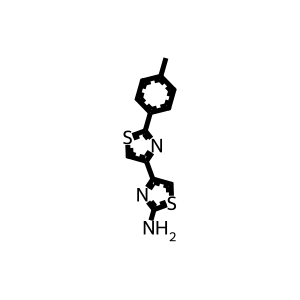 Cc1ccc(-c2nc(-c3csc(N)n3)cs2)cc1